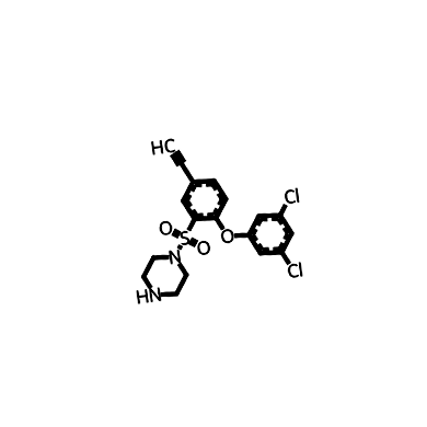 C#Cc1ccc(Oc2cc(Cl)cc(Cl)c2)c(S(=O)(=O)N2CCNCC2)c1